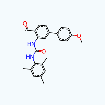 COc1ccc(-c2ccc([C]=O)c(NC(=O)Nc3c(C)cc(C)cc3C)c2)cc1